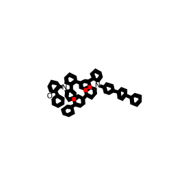 c1ccc(-c2ccc(-c3ccc(N(c4ccc(-c5ccc(-c6ccccc6)cc5)cc4)c4ccccc4-c4cccc(-c5cccc6c5c5ccccc5n6-c5cccc6oc7ccccc7c56)c4)cc3)cc2)cc1